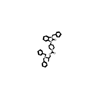 CC(COC(=O)N1CCC(n2c(=O)n(Cc3ccccc3)c3ccccc32)CC1)N(Cc1ccccc1)Cc1ccccc1